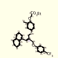 CCOC(=O)COc1ccc(SC/C(=C\c2cccc3ccccc23)COc2ccc(C(F)(F)F)cc2)cc1C